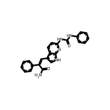 NC(=O)C(=Cc1c[nH]c2nc(NC(=O)Nc3ccccc3)ccc12)c1ccccc1